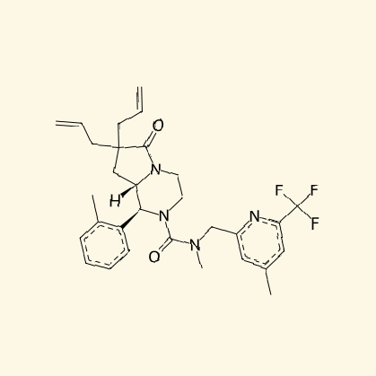 C=CCC1(CC=C)C[C@H]2[C@H](c3ccccc3C)N(C(=O)N(C)Cc3cc(C)cc(C(F)(F)F)n3)CCN2C1=O